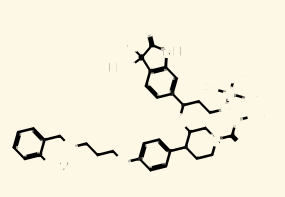 COc1ccccc1COCCCOc1ccc(C2CCN(C(=O)OC(C)(C)C)CC2OC(CCO[Si](C(C)C)(C(C)C)C(C)C)c2ccc3c(c2)NC(=O)C3(C)C)cc1